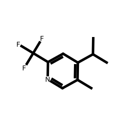 Cc1cnc(C(F)(F)F)cc1C(C)C